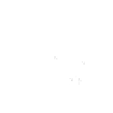 N#Cc1c[nH]c2c1c1cc(-c3ccc(-c4ccc5c(-c6c7ccccc7cc7ccccc67)c6ccccc6c(-c6c7ccccc7cc7ccccc67)c5c4)nc3)ccc1n2-c1ccccc1